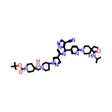 CCC1(C(=O)NC(C)C)CCN(c2ccc(-c3nc(-c4cnn(C5CCN(CC6(O)CCN(C(=O)OC(C)(C)C)CC6)CC5)c4)cn4ncc(C#N)c34)cn2)CC1